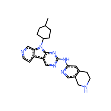 CC1CCC(n2c3cnccc3c3cnc(Nc4cc5c(cn4)CNCC5)nc32)CC1